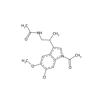 COc1cc2c(C(C)CNC(C)=O)cn(C(C)=O)c2cc1Cl